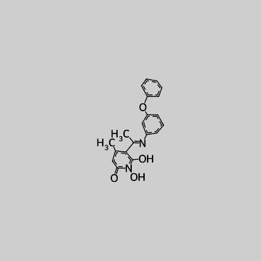 C/C(=N\c1cccc(Oc2ccccc2)c1)c1c(C)cc(=O)n(O)c1O